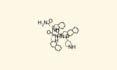 NC(=O)C[C@H](Cc1ccccc1)NC(=O)[C@@H](Cc1ccc2ccccc2c1)NC(=O)[C@@H](Cc1ccc2ccccc2c1)NC(=O)C1CCNCC1